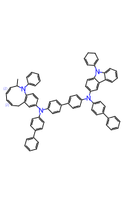 CC1/C=C\C=C/Cc2cc(N(c3ccc(-c4ccccc4)cc3)c3ccc(-c4ccc(N(c5ccc(-c6ccccc6)cc5)c5ccc6c(c5)c5ccccc5n6C5=CCCC=C5)cc4)cc3)ccc2N1c1ccccc1